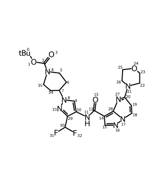 CC(C)(C)OC(=O)N1CCC(n2cc(NC(=O)c3cnn4ccc(N5CCOCC5)nc34)c(C(F)F)n2)CC1